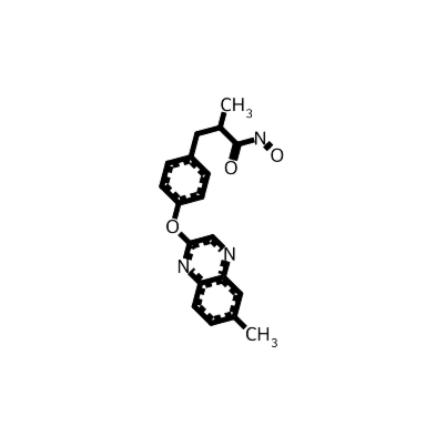 Cc1ccc2nc(Oc3ccc(CC(C)C(=O)N=O)cc3)cnc2c1